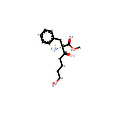 COC(=O)[C@](N)(Cc1ccccc1)C(=O)CCCCO